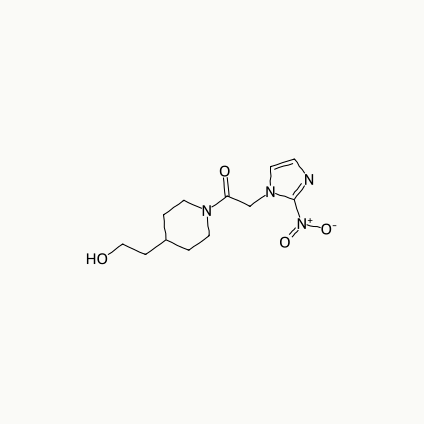 O=C(Cn1ccnc1[N+](=O)[O-])N1CCC(CCO)CC1